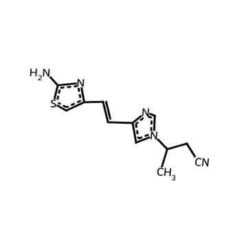 CC(CC#N)n1cnc(C=Cc2csc(N)n2)c1